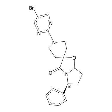 O=C1N2C(CC[C@H]2c2ccccc2)OC12CCN(c1ncc(Br)cn1)CC2